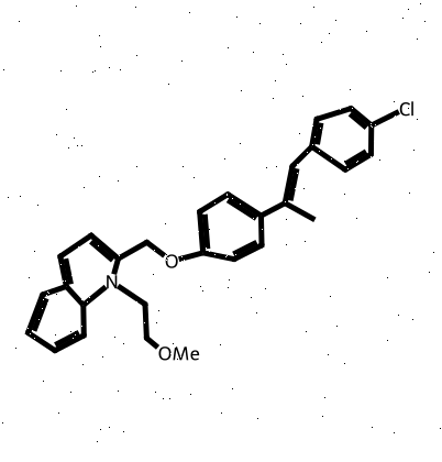 COCCN1C(COc2ccc(C(C)=Cc3ccc(Cl)cc3)cc2)=CC=C2C=CC=CC21